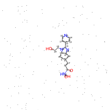 O=C(C=Cc1ccc2c(c1)nc(-c1ccncc1)n2CCO)NO